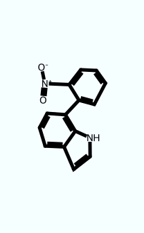 O=[N+]([O-])c1ccccc1-c1cccc2cc[nH]c12